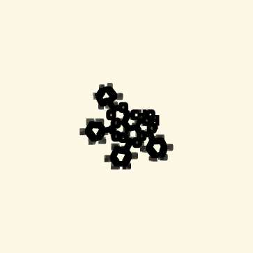 O=C[C@H](OC(=O)c1ccccc1)[C@H](OC(=O)c1ccccc1)[C@@H](OC(=O)c1ccccc1)[C@@H](CO)OC(=O)c1ccccc1